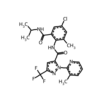 Cc1cccnc1-n1nc(C(F)(F)F)cc1C(=O)Nc1c(C)cc(Cl)cc1C(=O)NC(C)C